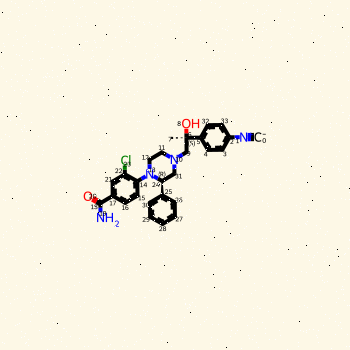 [C-]#[N+]c1ccc([C@](C)(O)CN2CCN(c3ccc(C(N)=O)cc3Cl)[C@H](c3ccccc3)C2)cc1